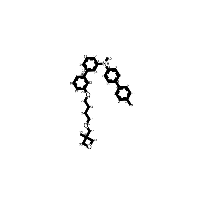 Cc1ccc(-c2ccc(N(C)c3cccc(-c4cccc(OCCCCOCC5(C)COC5)c4)c3)cc2)cc1